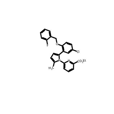 CCOC(=O)c1cccc(-n2c(C)ccc2-c2cc(Cl)ccc2OCc2ccccc2F)n1